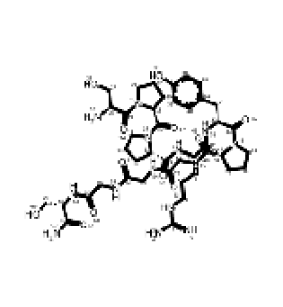 N=C(N)NCCC[C@H](NC(=O)[C@@H]1CCCN1C(=O)[C@@H]1CCCN1C(=O)[C@@H](N)CO)C(=O)N[C@@H](Cc1ccc(O)cc1)C(=O)N1CCC[C@H]1C(=O)NCC(=O)NCC(=O)NCC(=O)N[C@@H](CO)C(N)=O